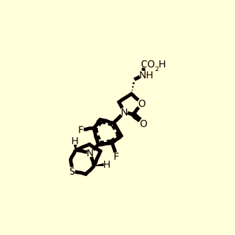 O=C(O)NC[C@H]1CN(c2cc(F)c(N3[C@@H]4CC[C@H]3CSC4)c(F)c2)C(=O)O1